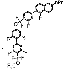 CCCc1ccc2c(F)c(-c3ccc(C(F)(F)Oc4cc(F)c(-c5cc(F)c(C(F)(F)OC(F)(F)F)c(F)c5)c(F)c4)c(F)c3)ccc2c1